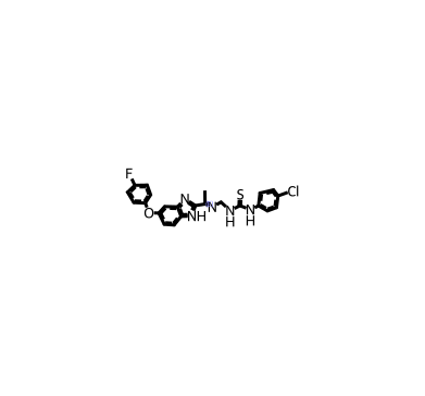 C/C(=N\CNC(=S)Nc1ccc(Cl)cc1)c1nc2cc(Oc3ccc(F)cc3)ccc2[nH]1